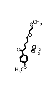 C=C.COCCOCCCCC(=O)c1ccc(SC)cc1